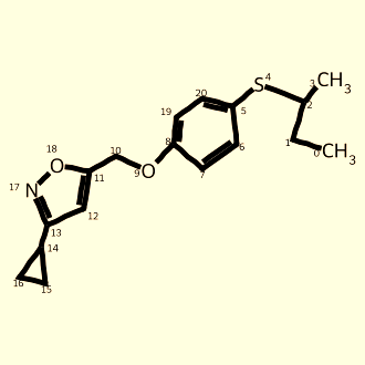 CCC(C)Sc1ccc(OCc2cc(C3CC3)no2)cc1